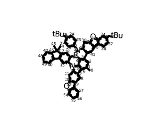 Cc1cc2c3c4c1c1cc5c(cc1n4-c1cc4c(cc1B3N(c1ccc(C(C)(C)C)cc1)c1cc3oc6cc(C(C)(C)C)ccc6c3cc1-2)C(C)(C)c1ccccc1-4)oc1ccccc15